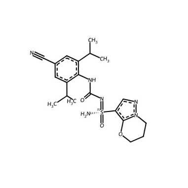 CC(C)c1cc(C#N)cc(C(C)C)c1NC(=O)N=[S@](N)(=O)c1cnn2c1OCCC2